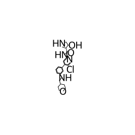 O=C(Nc1cc(-c2cccc(NCC3CCOCC3)c2)c(Cl)cn1)[C@H]1CNC[C@@H]1O